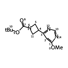 COc1cc(C2CN(C(=O)OC(C)(C)C)C2)ncn1